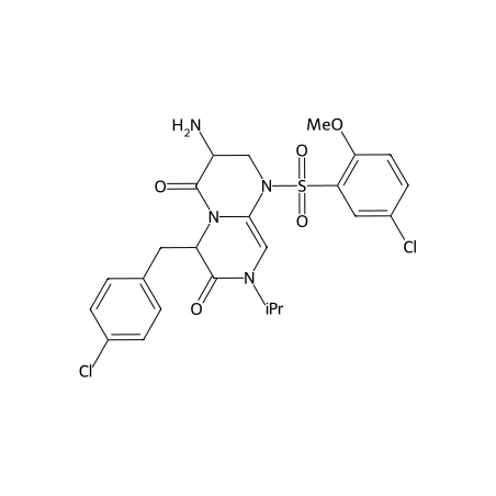 COc1ccc(Cl)cc1S(=O)(=O)N1CC(N)C(=O)N2C1=CN(C(C)C)C(=O)C2Cc1ccc(Cl)cc1